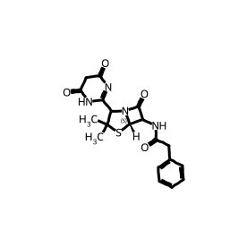 CC1(C)S[C@H]2C(NC(=O)Cc3ccccc3)C(=O)N2C1C1=NC(=O)CC(=O)N1